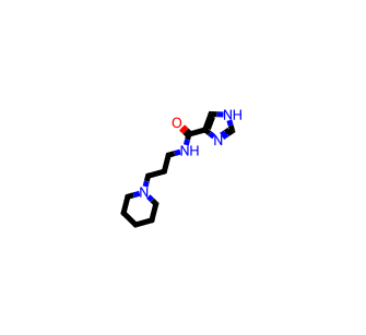 O=C(NCCCN1CCCCC1)c1c[nH]cn1